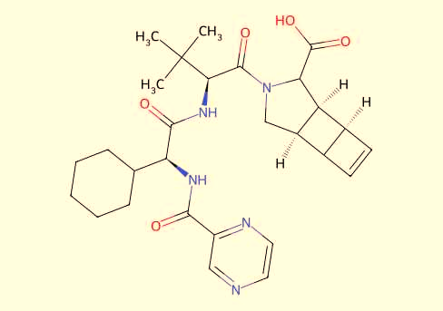 CC(C)(C)[C@H](NC(=O)[C@@H](NC(=O)c1cnccn1)C1CCCCC1)C(=O)N1C[C@@H]2C3C=C[C@@H]3[C@@H]2C1C(=O)O